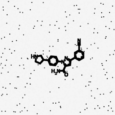 N#Cc1cccc(-c2cc(C(N)=O)n(-c3ccc(C4CCNC4)cc3)n2)c1